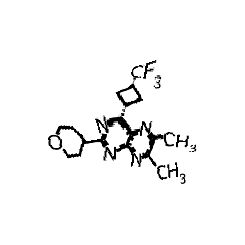 Cc1nc2nc(C3CCOCC3)nc([C@H]3C[C@@H](C(F)(F)F)C3)c2nc1C